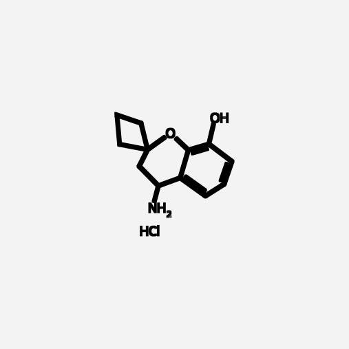 Cl.NC1CC2(CCC2)Oc2c(O)cccc21